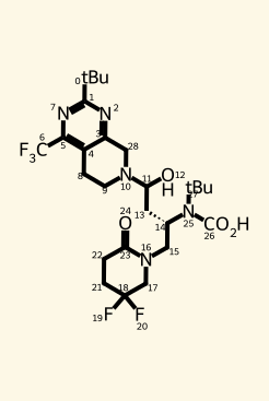 CC(C)(C)c1nc2c(c(C(F)(F)F)n1)CCN(C(O)C[C@@H](CN1CC(F)(F)CCC1=O)N(C(=O)O)C(C)(C)C)C2